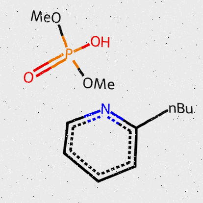 CCCCc1ccccn1.COP(=O)(O)OC